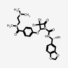 CCC[C@@H](NC(=O)N1C(=O)C(CC)(CC)[C@@H]1Oc1ccc(C(=O)N(C)CCN(C)C)cc1)c1ccc2c(c1)OCO2